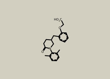 Cc1cccc(C)c1N1CC(Cc2ccccc2OCC(=O)O)CCC1=O